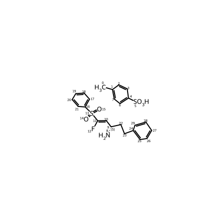 Cc1ccc(S(=O)(=O)O)cc1.N[C@H](C=C(F)S(=O)(=O)c1ccccc1)CCc1ccccc1